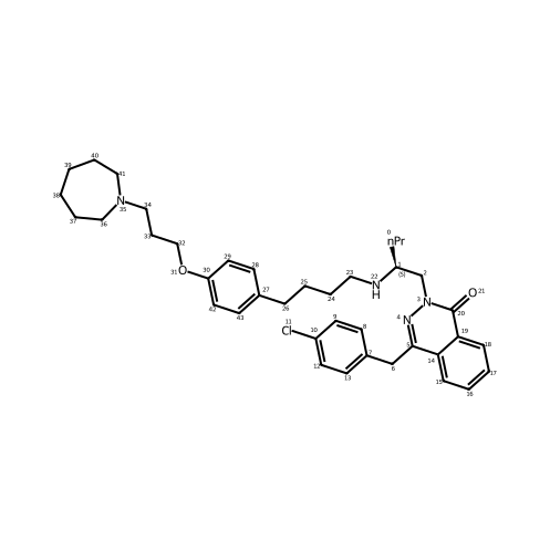 CCC[C@@H](Cn1nc(Cc2ccc(Cl)cc2)c2ccccc2c1=O)NCCCCc1ccc(OCCCN2CCCCCC2)cc1